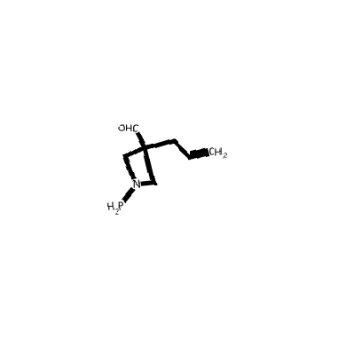 C=CCC1(C=O)CN(P)C1